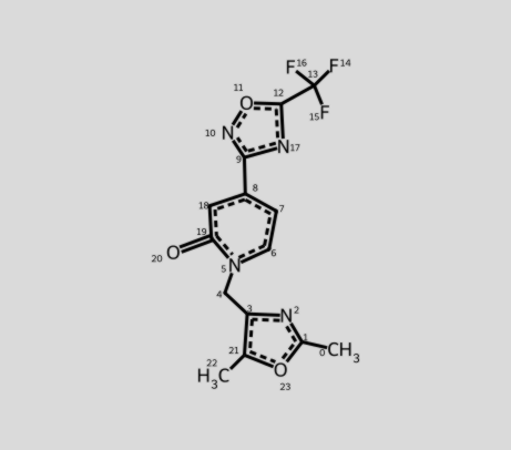 Cc1nc(Cn2ccc(-c3noc(C(F)(F)F)n3)cc2=O)c(C)o1